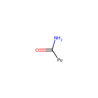 N[C](=O)[Pu]